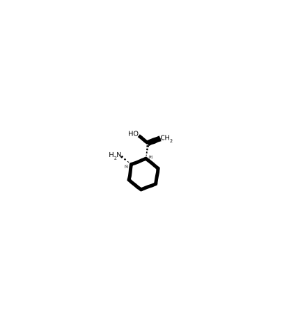 C=C(O)[C@@H]1CCCC[C@@H]1N